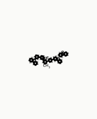 Cc1cc(-c2ccc(-c3ccc4c(c3)c3ccccc3n4-c3ccc4oc5ccccc5c4c3)cc2C)c2oc3ccc(-c4cccc(-n5c6ccccc6c6ccccc65)c4)cc3c2c1